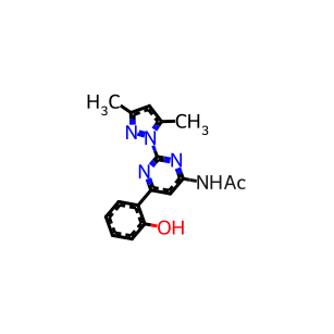 CC(=O)Nc1cc(-c2ccccc2O)nc(-n2nc(C)cc2C)n1